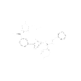 CCO[C@H]1CCN(C(=O)c2cccc(-c3n[nH]c([C@H]4CCCCN4C(=O)COc4ccccc4)n3)c2)C1